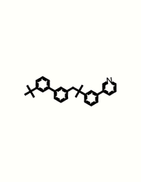 CC(C)(C)c1cccc(-c2cccc(CC(C)(C)c3cccc(-c4cccnc4)c3)c2)c1